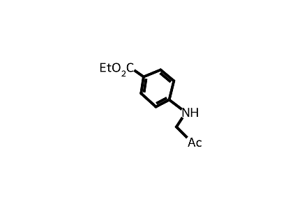 CCOC(=O)c1ccc(NCC(C)=O)cc1